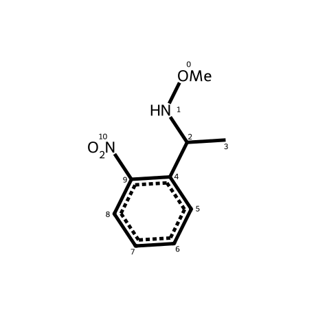 CONC(C)c1ccccc1[N+](=O)[O-]